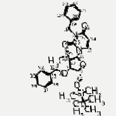 CC(C)(C)[Si](C)(C)OC[C@H]1O[C@@H](n2ccc(=O)n(Cc3ccccc3)c2=O)[C@](C)(F)[C@@H]1OCc1ccccc1